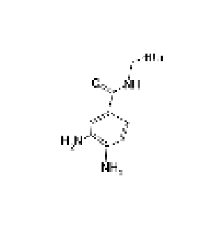 CC(C)(C)CNC(=O)c1ccc(N)c(N)c1